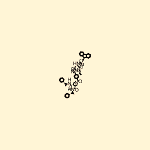 C=CCOC(=O)[C@H](Cc1nc(-c2ccc(C(=O)N3C[C@@H](C(=O)N[C@H]4C[C@@H]4c4ccccc4)[C@H](C(=O)N[C@H]4C[C@@H]4c4ccccc4)C3)cc2)no1)NC(=O)OCC1c2ccccc2-c2ccccc21